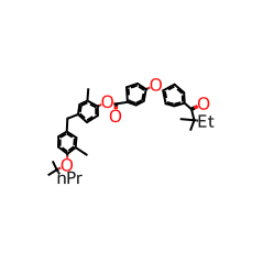 CCCC(C)(C)Oc1ccc(Cc2ccc(OC(=O)c3ccc(Oc4ccc(C(=O)C(C)(C)CC)cc4)cc3)c(C)c2)cc1C